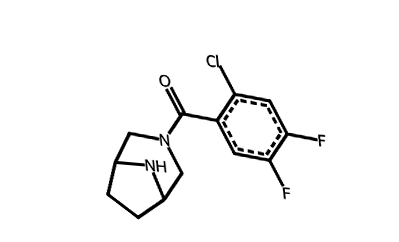 O=C(c1cc(F)c(F)cc1Cl)N1CC2CCC(C1)N2